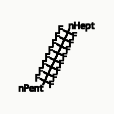 CCCCCCCC(F)(F)C(F)(F)C(F)(F)C(F)(F)C(F)(F)C(F)(F)C(F)(F)C(F)(F)CCCCC